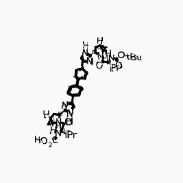 CC(C)[C@@H](NC(=O)O)C(=O)N1[C@@H]2C[C@@H]2C[C@H]1c1nc(-c2ccc(-c3ccc(-c4c[nH]c([C@@H]5C[C@@H]6C[C@H]6N5C(=O)[C@H](NC(=O)OC(C)(C)C)C(C)C)n4)cc3)cc2)c[nH]1